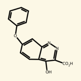 O=C(O)c1nnc2cc(Oc3ccccc3)ccc2c1O